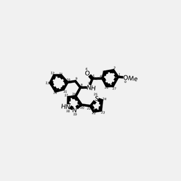 COc1ccc(C(=O)NC(Cc2ccccc2)c2c[nH]nc2-c2cccs2)cc1